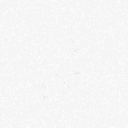 Nc1ncc(Cl)n2c([C@@H]3CC[C@H]4CCC(=O)N4C3)nc(-c3ccc(C(=O)Nc4cc(C(F)(F)F)ccn4)cc3OC3CC3)c12